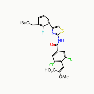 COC(=Cc1c(Cl)cc(C(=O)Nc2nc(-c3cccc(COCC(C)C)c3F)cs2)cc1Cl)C(=O)O